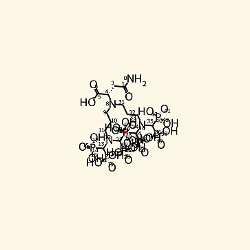 NC(=O)C[C@@H](C(=O)O)N(CCCN(C(P(=O)(O)O)P(=O)(O)O)C(P(=O)(O)O)P(=O)(O)O)CCCN(C(P(=O)(O)O)P(=O)(O)O)C(P(=O)(O)O)P(=O)(O)O